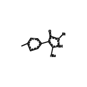 CCCCc1[nH]n(CC)c(=O)c1-c1ccc(C)cc1